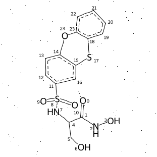 O=C(NO)C(CO)NS(=O)(=O)c1ccc2c(c1)Sc1ccccc1O2